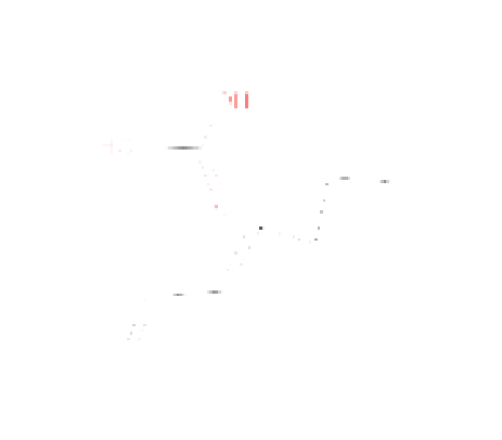 C=CC=CCCC.O=C(O)O